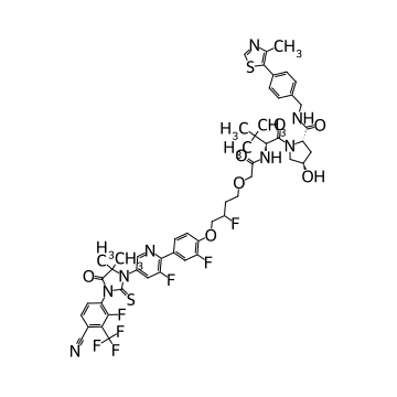 Cc1ncsc1-c1ccc(CNC(=O)[C@@H]2C[C@@H](O)CN2C(=O)[C@@H](NC(=O)COCCC(F)COc2ccc(-c3ncc(N4C(=S)N(c5ccc(C#N)c(C(F)(F)F)c5F)C(=O)C4(C)C)cc3F)cc2F)C(C)(C)C)cc1